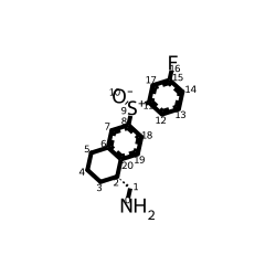 NC[C@@H]1CCCc2cc([S+]([O-])c3cccc(F)c3)ccc21